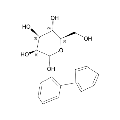 OC[C@H]1OC(O)[C@@H](O)[C@@H](O)[C@@H]1O.c1ccc(-c2ccccc2)cc1